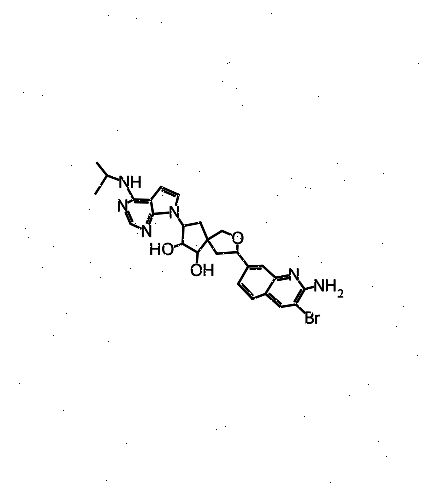 CC(C)Nc1ncnc2c1ccn2C1CC2(COC(c3ccc4cc(Br)c(N)nc4c3)C2)C(O)C1O